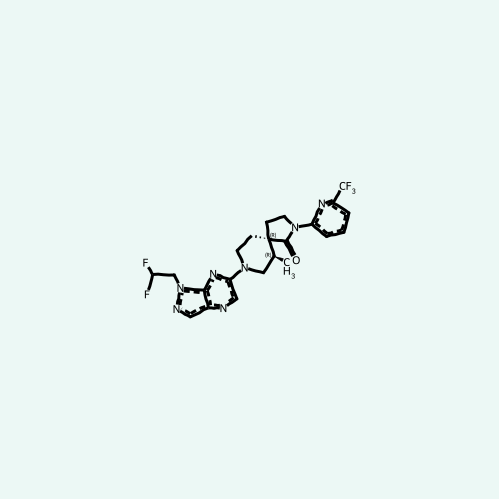 C[C@H]1CN(c2cnc3cnn(CC(F)F)c3n2)CC[C@@]12CCN(c1cccc(C(F)(F)F)n1)C2=O